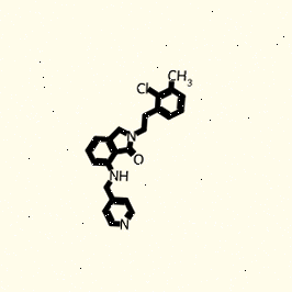 Cc1cccc(CCN2Cc3cccc(NCc4ccncc4)c3C2=O)c1Cl